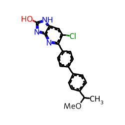 COC(C)c1ccc(-c2ccc(-c3nc4nc(O)[nH]c4cc3Cl)cc2)cc1